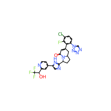 O=C1C=C(c2c(-n3cnnn3)ccc(Cl)c2F)CC2CCC(c3ncc(-c4ccnc(C(O)C(F)(F)F)c4)[nH]3)N12